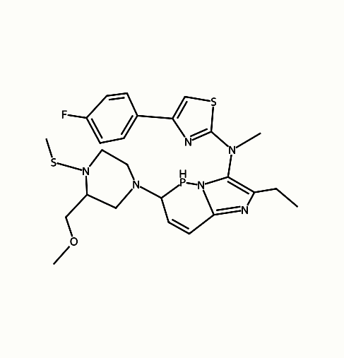 CCc1nc2n(c1N(C)c1nc(-c3ccc(F)cc3)cs1)PC(N1CCN(SC)C(COC)C1)C=C2